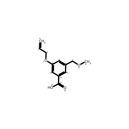 C=CCOc1cc(COC)cc(C(=O)O)c1